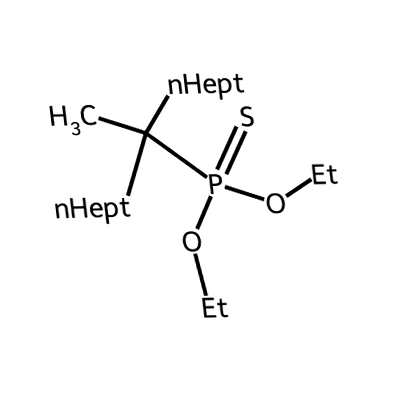 CCCCCCCC(C)(CCCCCCC)P(=S)(OCC)OCC